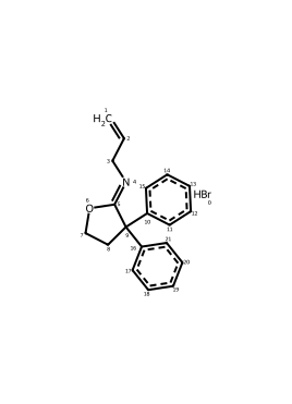 Br.C=CCN=C1OCCC1(c1ccccc1)c1ccccc1